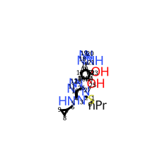 CCCSc1nc(NCC2CC2)c2nnn([C@@H]3C[C@H](c4nnn[nH]4)[C@@H](O)[C@H]3O)c2n1